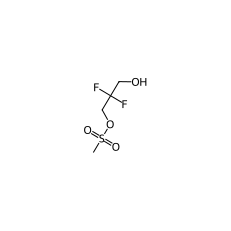 CS(=O)(=O)OCC(F)(F)CO